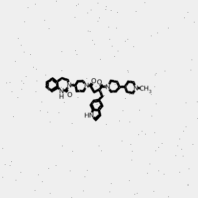 CN1CCC(C2CCN(C(=O)C(CC(=O)N3CCC(N4CCc5ccccc5NC4=O)CC3)Cc3ccc4[nH]ccc4c3)CC2)CC1